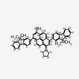 Bc1cc(-c2ccc3c(c2)C(C)(C)c2ccccc2-3)c2ccc3c(C4CCCC4)cc(-c4ccc5c(c4)C(C)(C)c4ccccc4-5)c4ccc1c2c43